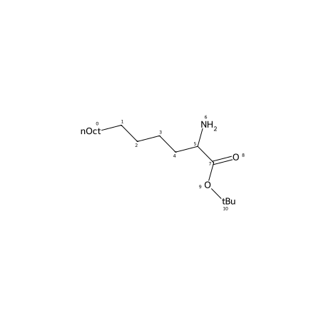 CCCCCCCCCCCCC(N)C(=O)OC(C)(C)C